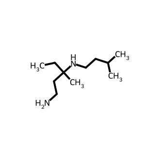 CCC(C)(CCN)NCCC(C)C